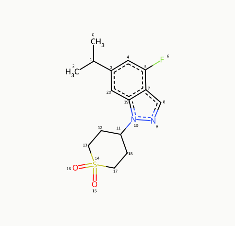 CC(C)c1cc(F)c2cnn(C3CCS(=O)(=O)CC3)c2c1